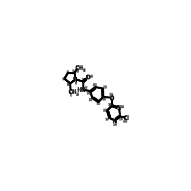 CC1CCC(C)N1C(=O)Nc1ccc(Oc2ccnc(Cl)n2)cc1